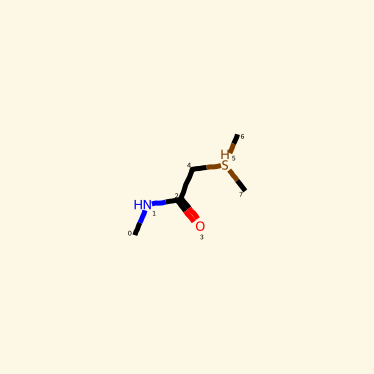 CNC(=O)C[SH](C)C